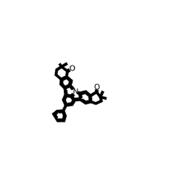 CC1(C)CCc2cc3c4cc(-c5ccccc5)cc5c6cc7c(cc6n(c3cc2C1=O)c45)C(=O)C(C)(C)CC7